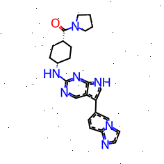 O=C([C@H]1CC[C@@H](Nc2ncc3c(-c4ccc5nccn5c4)c[nH]c3n2)CC1)N1CCCC1